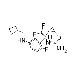 NC1=N[C@@](c2cc(NCC3CCC3)ccc2F)(C(F)F)C2C[C@H]2O1